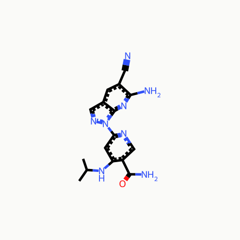 CC(C)Nc1cc(-n2ncc3cc(C#N)c(N)nc32)ncc1C(N)=O